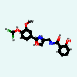 CC(C)Oc1cc(-c2nc(CNC(=O)c3ccccc3O)co2)ccc1OC(F)F